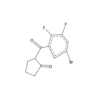 O=C1CCCC1C(=O)c1cc(Br)cc(F)c1F